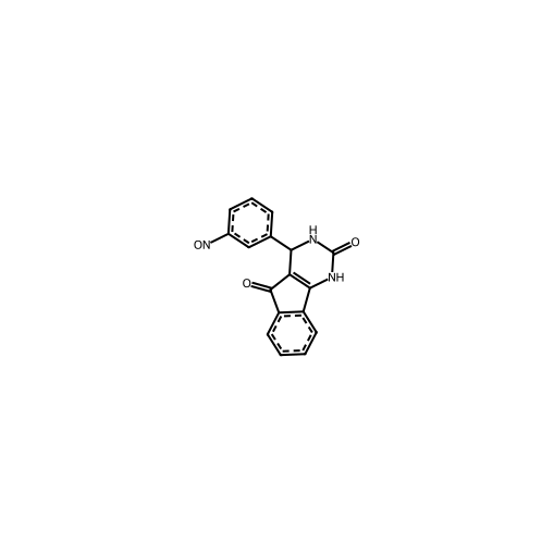 O=Nc1cccc(C2NC(=O)NC3=C2C(=O)c2ccccc23)c1